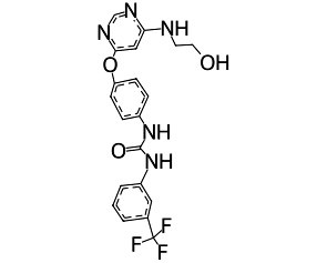 O=C(Nc1ccc(Oc2cc(NCCO)ncn2)cc1)Nc1cccc(C(F)(F)F)c1